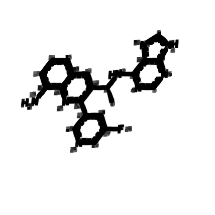 C[C@H](Nc1ncnc2[nH]cnc12)c1cc2cccc(N)c2nc1-c1cncc(F)c1